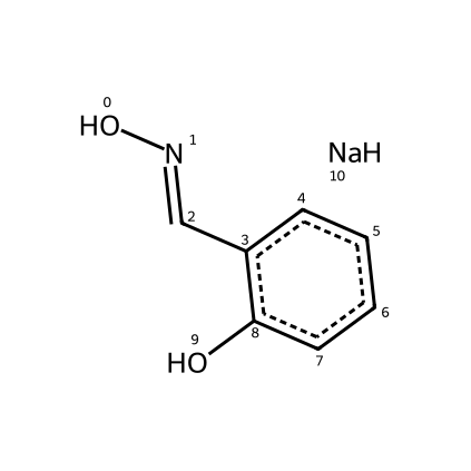 ON=Cc1ccccc1O.[NaH]